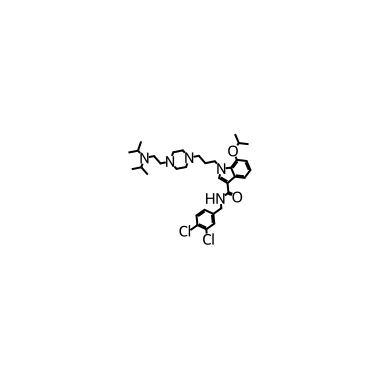 CC(C)Oc1cccc2c(C(=O)NCc3ccc(Cl)c(Cl)c3)cn(CCCN3CCN(CCN(C(C)C)C(C)C)CC3)c12